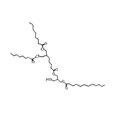 CCCCCCCCCCCC(=O)OCC(CO)COC(=O)CCCCC(COC(=O)CCCCCCC)COC(=O)CCCCCCC